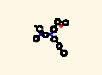 CC1C=Cc2c(n(-c3ccccc3)c3ccc(N(c4ccc(-c5ccc(-c6ccccc6)cc5)cc4)c4ccc(-c5cccc6c5oc5ccccc56)cc4)cc23)C1